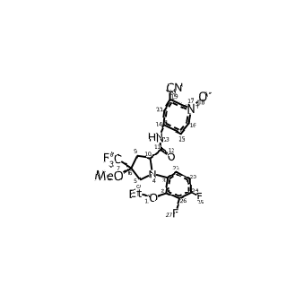 CCOc1c(N2CC(OC)(C(F)(F)F)CC2C(=O)Nc2cc[n+]([O-])c(C#N)c2)ccc(F)c1F